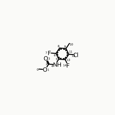 COC(=O)Nc1c(F)cc(C)c(Cl)c1F